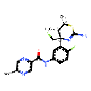 COc1cnc(C(=O)Nc2ccc(F)c([C@@]3(CF)N=C(N)S[C@@H](C)[C@H]3C)c2)cn1